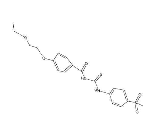 CCOCCOc1ccc(C(=O)NC(=S)Nc2ccc(S(C)(=O)=O)cc2)cc1